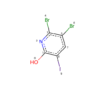 Oc1nc(Br)c(Br)cc1I